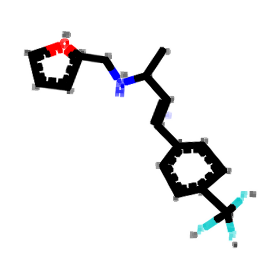 CC(/C=C/c1ccc(C(F)(F)F)cc1)NCc1ccco1